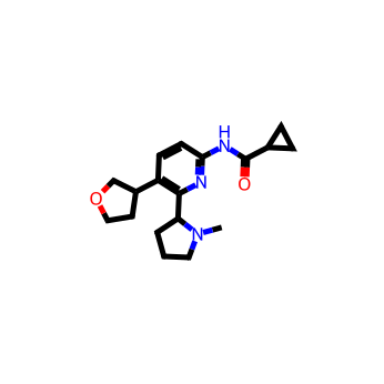 CN1CCCC1c1nc(NC(=O)C2CC2)ccc1C1CCOC1